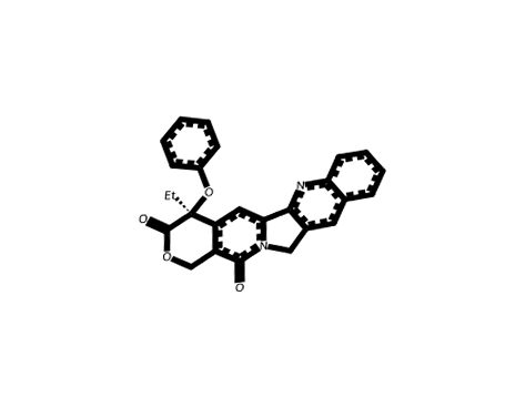 CC[C@@]1(Oc2ccccc2)C(=O)OCc2c1cc1n(c2=O)Cc2cc3ccccc3nc2-1